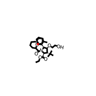 CCOC(=O)[C@@H]1[C@@H](C(C)(C)C)[C@H](OCCO)[C@H](c2ccccc2C)N1C(=O)C1CCCCO1